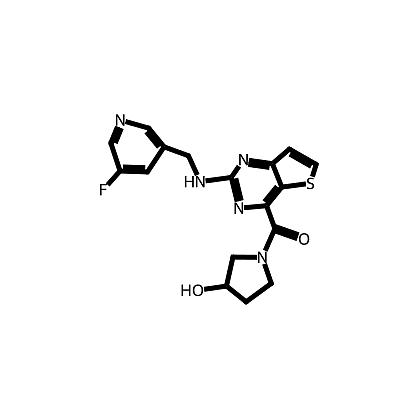 O=C(c1nc(NCc2cncc(F)c2)nc2ccsc12)N1CCC(O)C1